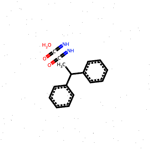 CC(c1ccccc1)c1ccccc1.N=C=O.N=C=O.O